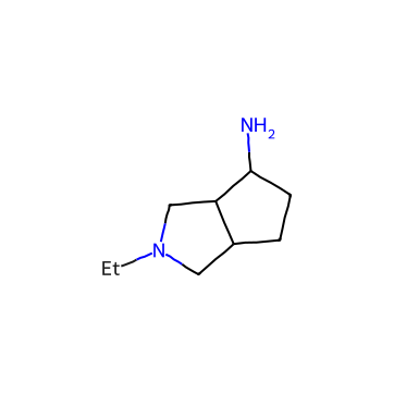 CCN1CC2CCC(N)C2C1